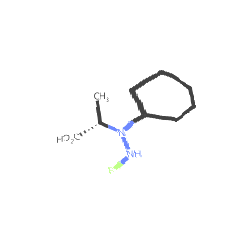 C[C@@H](C(=O)O)N(NF)C1CCCCC1